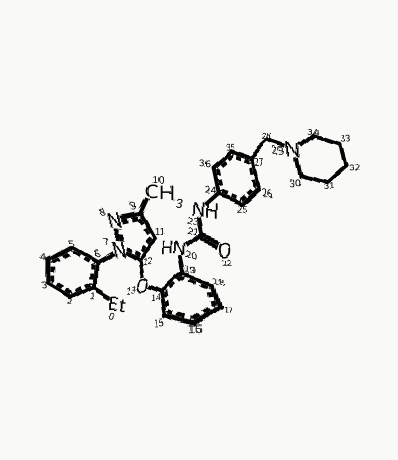 CCc1ccccc1-n1nc(C)cc1Oc1ccccc1NC(=O)Nc1ccc(CN2CCCCC2)cc1